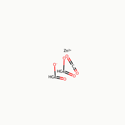 O=C=O.[O]=[GeH][O-].[O]=[GeH][O-].[Zn+2]